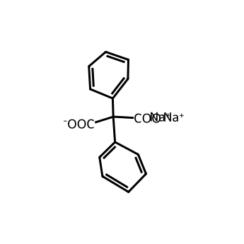 O=C([O-])C(C(=O)[O-])(c1ccccc1)c1ccccc1.[Na+].[Na+]